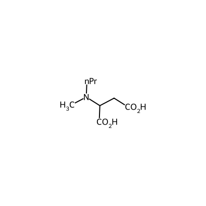 CCCN(C)C(CC(=O)O)C(=O)O